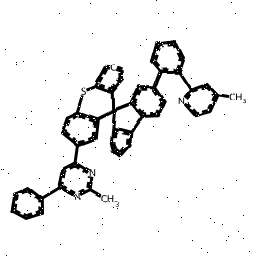 Cc1ccnc(-c2ccccc2-c2ccc3c(c2)C2(c4ccccc4Sc4ccc(-c5cc(-c6ccccc6)nc(C)n5)cc42)c2ccccc2-3)c1